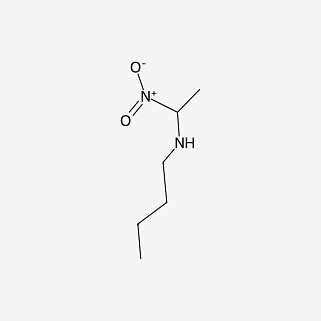 CCCCNC(C)[N+](=O)[O-]